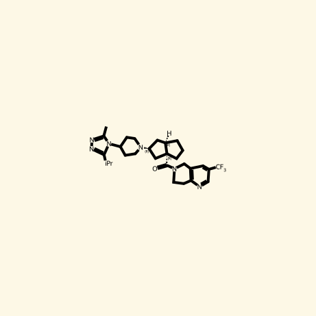 Cc1nnc(C(C)C)n1C1CCN([C@@H]2C[C@H]3CCC[C@@]3(C(=O)N3CCc4ncc(C(F)(F)F)cc4C3)C2)CC1